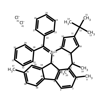 Cc1ccc2c(c1)[CH]([Zr+2]([C]1=CC(C(C)(C)C)=CC1C(C)C)=[C](c1ccccc1)c1ccccc1)c1cc(C)ccc1-2.[Cl-].[Cl-]